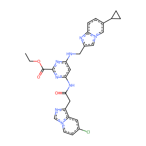 CCOC(=O)c1nc(NCc2cn3cc(C4CC4)ccc3n2)cc(NC(=O)Cc2ncn3ccc(Cl)cc23)n1